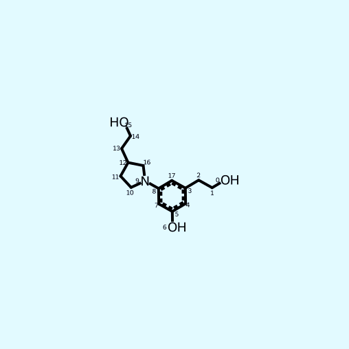 OCCc1cc(O)cc(N2CCC(CCO)C2)c1